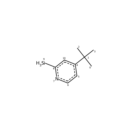 CC(C)(C)c1ccnc([SiH3])c1